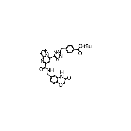 CC(C)(C)OC(=O)c1ccc(Cn2nnc(-c3cc(C(=O)NCc4ccc5c(c4)NC(=O)CO5)nc4ccnn34)n2)cc1